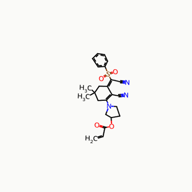 C=CC(=O)OC1CCN(C2=C(C#N)/C(=C(\C#N)S(=O)(=O)c3ccccc3)CC(C)(C)C2)C1